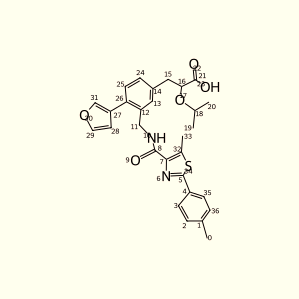 Cc1ccc(-c2nc(C(=O)NCc3cc(CC(OC(C)C)C(=O)O)ccc3-c3ccoc3)c(C)s2)cc1